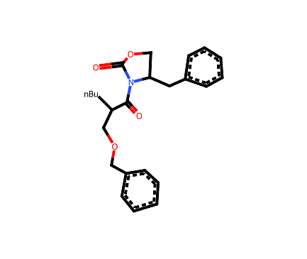 CCCCC(COCc1ccccc1)C(=O)N1C(=O)OCC1Cc1ccccc1